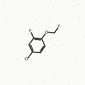 FCOc1ccc(Cl)cc1F